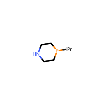 CC(C)P1CCNCC1